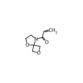 C=CC(=O)N1CCOC12COC2